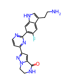 NCCc1c[nH]c2cc(-c3nccc(-c4cc5n(n4)CCNC5=O)n3)c(F)cc12